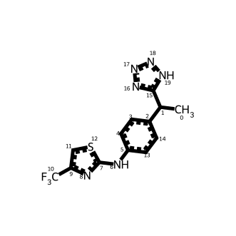 CC(c1ccc(Nc2nc(C(F)(F)F)cs2)cc1)c1nnn[nH]1